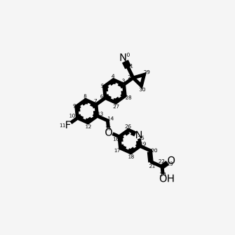 N#CC1(c2ccc(-c3ccc(F)cc3COc3ccc(C=CC(=O)O)nc3)cc2)CC1